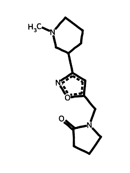 CN1CCCC(c2cc(CN3CCCC3=O)on2)C1